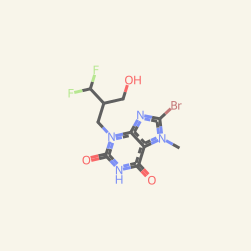 Cn1c(Br)nc2c1c(=O)[nH]c(=O)n2CC(CO)C(F)F